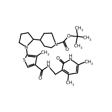 Cc1cc(C)c(CNC(=O)c2csc(N3CCCC3C3CCN(C(=O)OC(C)(C)C)CC3)c2C)c(=O)[nH]1